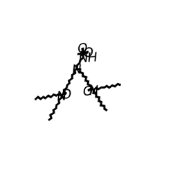 CCCCCCCCCCN(CCCCCCCCCC)C(=O)CCCCCCCCCN(CCCCCCCCCC(=O)N(CCCCCCCCCC)CCCCCCCCCC)CCCNc1c(C)c(=O)c1=O